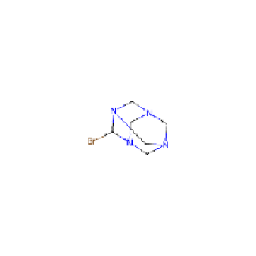 BrC1N2CN3CN(C2)CN1C3